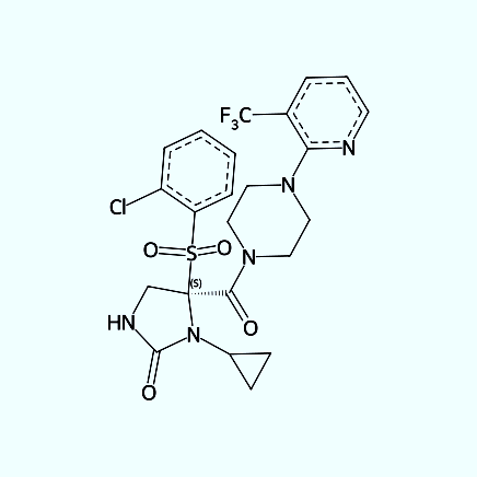 O=C1NC[C@@](C(=O)N2CCN(c3ncccc3C(F)(F)F)CC2)(S(=O)(=O)c2ccccc2Cl)N1C1CC1